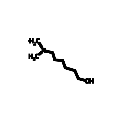 [CH2]N(C)CCCCCCO